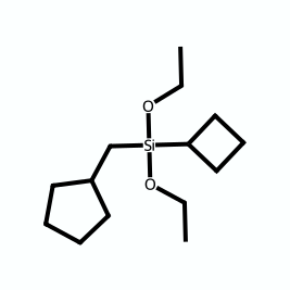 CCO[Si](CC1CCCC1)(OCC)C1CCC1